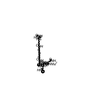 CCC(C)[C@H](NC(=O)[C@H](Cc1c[nH]c2ccccc12)NC(=O)[C@@H]1CCCN1C(=O)CNC(=O)COCCOCCOCCNC(=O)CCCC[C@@H]1SC[C@@H]2NC(=O)N[C@@H]21)C(=O)N[C@@H](CCC(N)=O)C(=O)NC